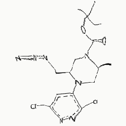 C[C@H]1CN(c2cc(Cl)nnc2Cl)[C@@H](CN=[N+]=[N-])CN1C(=O)OC(C)(C)C